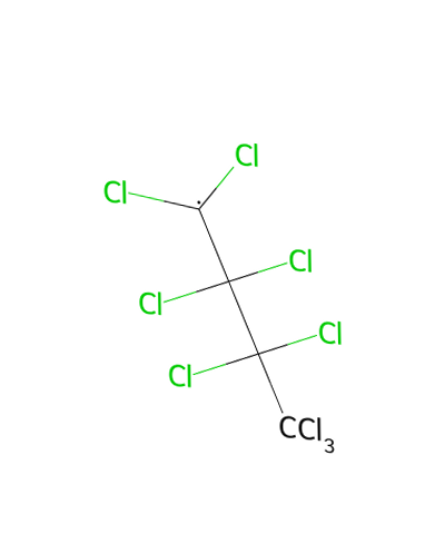 Cl[C](Cl)C(Cl)(Cl)C(Cl)(Cl)C(Cl)(Cl)Cl